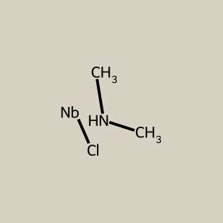 CNC.[Cl][Nb]